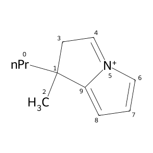 CCCC1(C)CC=[N+]2C=CC=C21